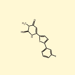 Cn1c(=O)cc(-c2ccc(-c3cccc(I)c3)s2)[nH]c1=N